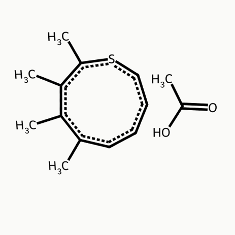 CC(=O)O.Cc1ccccsc(C)c(C)c1C